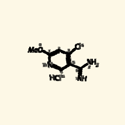 COc1cc(Cl)c(C(=N)N)cn1.Cl